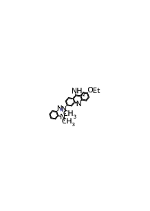 CCOc1ccc2nc3cc(/N=N/c4ccccc4N(C)C)ccc3c(N)c2c1